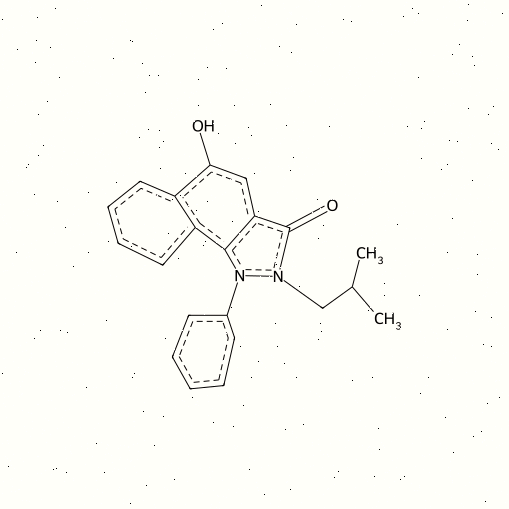 CC(C)Cn1c(=O)c2cc(O)c3ccccc3c2n1-c1ccccc1